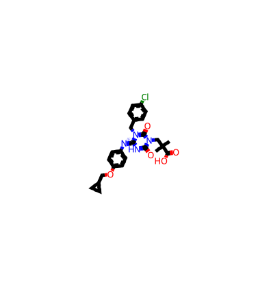 CC(C)(Cn1c(=O)[nH]/c(=N\c2ccc(OCC3CC3)cc2)n(Cc2ccc(Cl)cc2)c1=O)C(=O)O